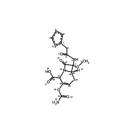 COC1(NC(=O)Cc2cccs2)C(=O)N2C(C(=O)O)C(OC(N)=O)=CS[C@H]21